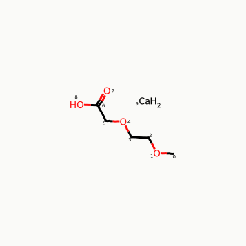 COCCOCC(=O)O.[CaH2]